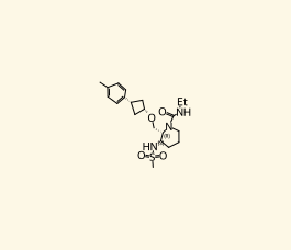 CCNC(=O)N1CCC[C@H](NS(C)(=O)=O)[C@@H]1CO[C@H]1C[C@@H](c2ccc(C)cc2)C1